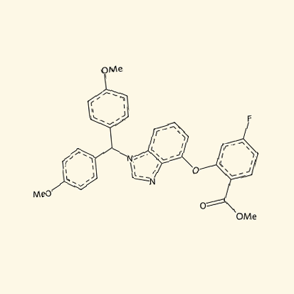 COC(=O)c1ccc(F)cc1Oc1cccc2c1ncn2C(c1ccc(OC)cc1)c1ccc(OC)cc1